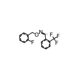 Fc1ccccc1CO/N=[C]\c1ccccc1C(F)(F)F